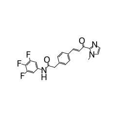 Cn1ccnc1C(=O)C=Cc1ccc(CC(=O)Nc2cc(F)c(F)c(F)c2)cc1